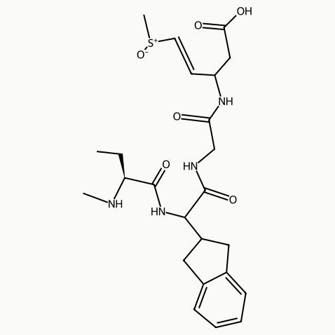 CC[C@H](NC)C(=O)NC(C(=O)NCC(=O)NC(/C=C/[S+](C)[O-])CC(=O)O)C1Cc2ccccc2C1